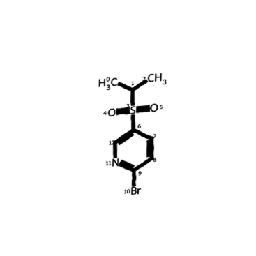 CC(C)S(=O)(=O)c1ccc(Br)nc1